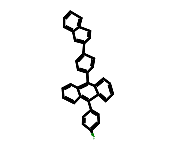 Fc1ccc(-c2c3ccccc3c(-c3ccc(-c4ccc5ccccc5c4)cc3)c3ccccc23)cc1